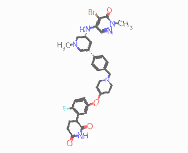 CN1C[C@H](Nc2cnn(C)c(=O)c2Br)C[C@H](c2ccc(CN3CCC(Oc4ccc(F)c(C5CCC(=O)NC5=O)c4)CC3)cc2)C1